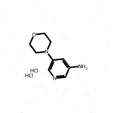 Cl.Cl.Nc1cncc(N2CCOCC2)c1